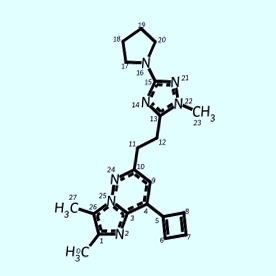 Cc1nc2c(C3=CC=C3)cc(CCc3nc(N4CCCC4)nn3C)nn2c1C